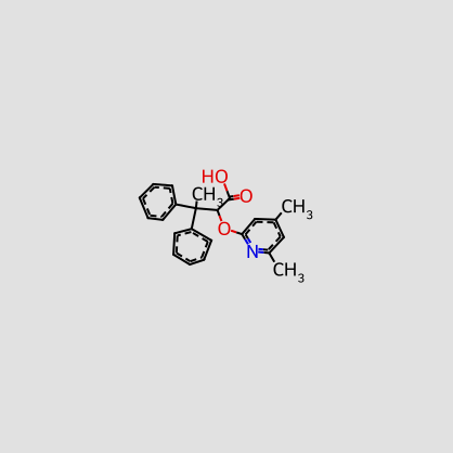 Cc1cc(C)nc(OC(C(=O)O)C(C)(c2ccccc2)c2ccccc2)c1